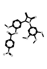 C=C1C(=O)N(c2cc(OC)c(OC)c(OC)c2)C1c1ccc(OC)c(NC(=O)c2ccc([N+](=O)[O-])cc2)c1